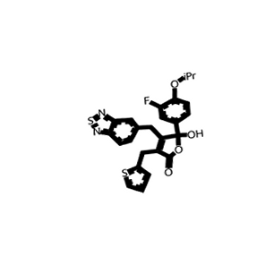 CC(C)Oc1ccc(C2(O)OC(=O)C(Cc3cccs3)=C2Cc2ccc3nsnc3c2)cc1F